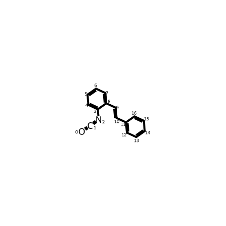 O=C=Nc1ccccc1/C=C/c1ccccc1